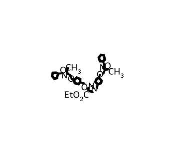 CCOC(=O)c1cn(Cc2ccc(OCc3nc(-c4ccccc4)oc3C)cc2)nc1OCc1ccc(OCc2nc(-c3ccccc3)oc2C)cc1